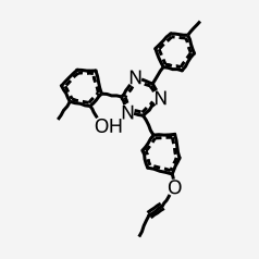 CC#COc1ccc(-c2nc(-c3ccc(C)cc3)nc(-c3cccc(C)c3O)n2)cc1